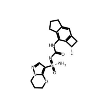 C[C@H]1Cc2cc3c(c(NC(=O)N=[S@@](N)(=O)c4cnn5c4OCCC5)c21)CCC3